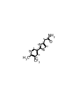 Cc1ncc(-c2nc(CC(N)=O)cs2)cc1C(F)(F)F